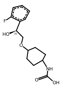 O=C(O)NC1CCC(OC[C@@H](O)c2ccccc2F)CC1